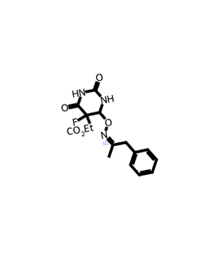 CCOC(=O)C1(F)C(=O)NC(=O)NC1O/N=C(/C)Cc1ccccc1